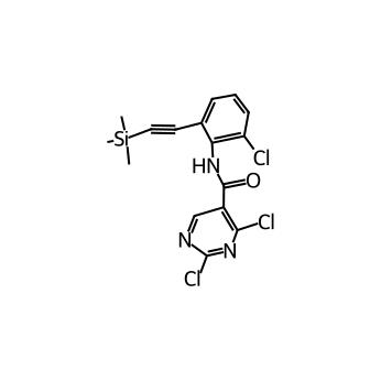 C[Si](C)(C)C#Cc1cccc(Cl)c1NC(=O)c1cnc(Cl)nc1Cl